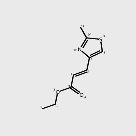 CCOC(=O)/C=C/c1csc(C)n1